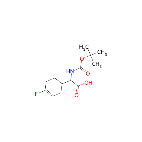 CC(C)(C)OC(=O)NC(C(=O)O)C1CC=C(F)CC1